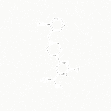 CI(C)c1cc(N2CCN(Cc3ccccc3O)CC2)nc(Cl)n1